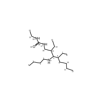 CCCCNC(C(CC)CCCC)C(CC)CNC(=O)NCC